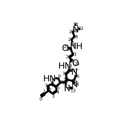 C#Cc1ccc2c(c1)NCC2c1ncnc2cnc(NC(=O)C=CC(=O)NCCCN(C)C)cc12